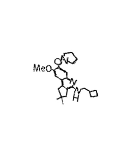 COc1cc2c3c(c(NCC4CCC4)nc2cc1ON1CCCC1)CC(C)(C)C3